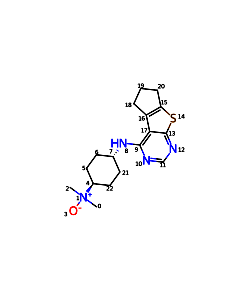 C[N+](C)([O-])[C@H]1CC[C@H](Nc2ncnc3sc4c(c23)CCC4)CC1